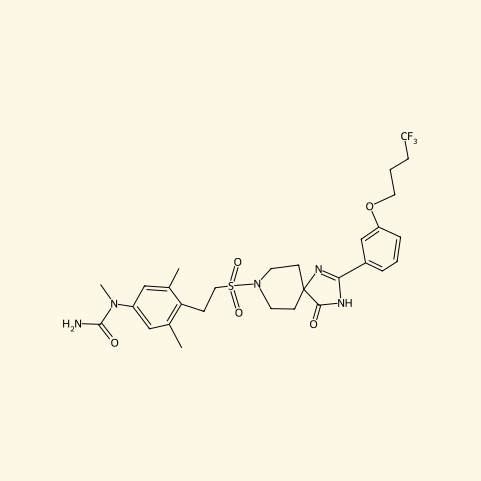 Cc1cc(N(C)C(N)=O)cc(C)c1CCS(=O)(=O)N1CCC2(CC1)N=C(c1cccc(OCCCC(F)(F)F)c1)NC2=O